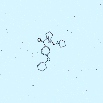 O=C(c1ccc(OC2C=CCCC2)cc1)N1CCC[C@H]1CN1CCCC1